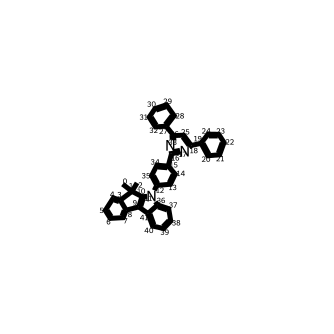 CC1(C)c2ccccc2-c2c1n(-c1ccc(-c3nc(-c4ccccc4)cc(-c4ccccc4)n3)cc1)c1ccccc21